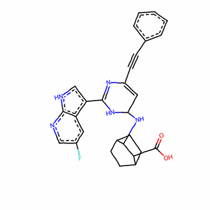 O=C(O)C1C2CCC(CC2)C1NC1C=C(C#Cc2ccccc2)N=C(c2c[nH]c3ncc(F)cc23)N1